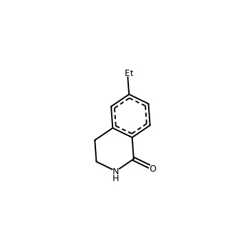 CCc1ccc2c(c1)CCNC2=O